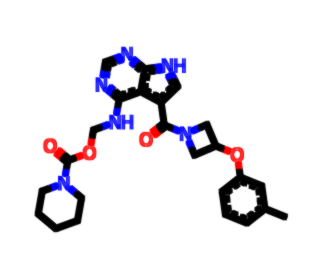 Cc1cccc(OC2CN(C(=O)c3c[nH]c4ncnc(NCOC(=O)N5CCCCC5)c34)C2)c1